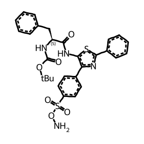 CC(C)(C)OC(=O)N[C@@H](Cc1ccccc1)C(=O)Nc1sc(-c2ccccc2)nc1-c1ccc(S(=O)(=O)ON)cc1